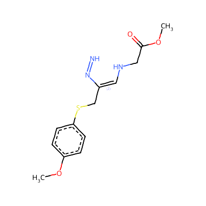 COC(=O)CN/C=C(/CSc1ccc(OC)cc1)N=N